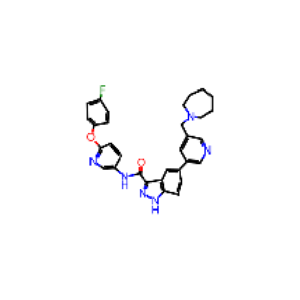 O=C(Nc1ccc(Oc2ccc(F)cc2)nc1)c1n[nH]c2ccc(-c3cncc(CN4CCCCCC4)c3)cc12